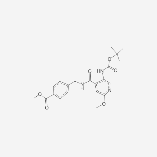 COC(=O)c1ccc(CNC(=O)c2cc(OC)ncc2NC(=O)OC(C)(C)C)cc1